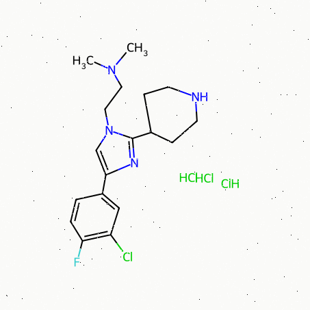 CN(C)CCn1cc(-c2ccc(F)c(Cl)c2)nc1C1CCNCC1.Cl.Cl.Cl